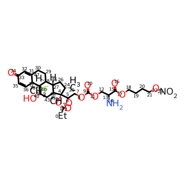 CCC(=O)O[C@]1(C(=O)COC(=O)OCC(N)C(=O)OCCCCO[N+](=O)[O-])[C@@H](C)C[C@H]2[C@@H]3CCC4=CC(=O)C=C[C@]4(C)[C@@]3(F)[C@@H](O)C[C@@]21C